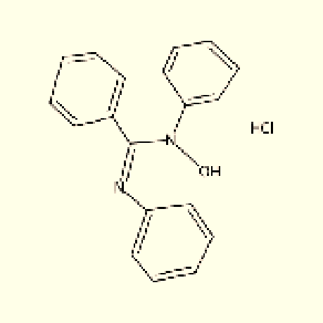 Cl.ON(C(=Nc1ccccc1)c1ccccc1)c1ccccc1